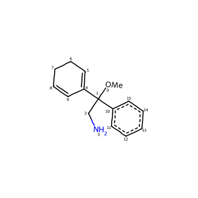 COC(CN)(C1=CCCC=C1)c1ccccc1